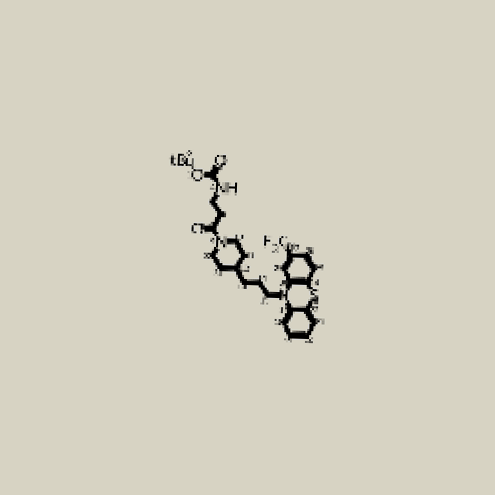 CC(C)(C)OC(=O)NCCC(=O)N1CCC(CCCN2c3ccccc3Sc3ccc(C(F)(F)F)cc32)CC1